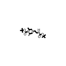 CC1CN(CCNC(=O)OC(C)(C)C)C[C@@H](C)N1C(=O)OC(C)(C)C